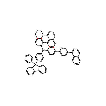 c1ccc(C2(c3ccc(N(c4ccc(-c5ccc(-c6cccc7ccccc67)cc5)cc4)c4ccccc4-c4cccc5cccc(C6CCCCC6)c45)cc3)c3ccccc3-c3ccccc32)cc1